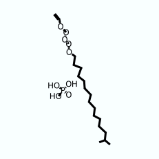 C=COOOOOCCCCCCCCCCCCCC(C)C.O=P(O)(O)O